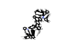 c1ccc(N(c2ccc3c(c2)c2ccccc2c2cc4c5ccc(N(c6ccccc6)c6c7ccccc7cc7ccccc67)cc5c5ccccc5c4cc32)c2c3ccccc3cc3ccccc23)cc1